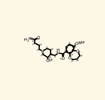 COc1ccc(C(=O)NCC2CCN(CCCC(N)=O)CC2O)c2c1OCCCO2